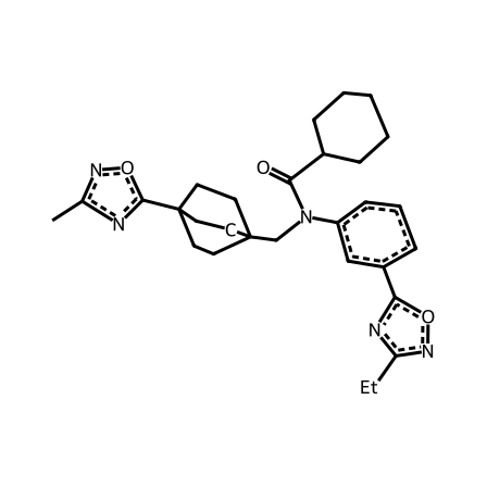 CCc1noc(-c2cccc(N(CC34CCC(c5nc(C)no5)(CC3)CC4)C(=O)C3CCCCC3)c2)n1